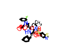 CC(C)CN(C[C@@H](O)[C@H](Cc1ccccc1)NC(=O)[C@@H]1CN(c2cccc(F)c2)C(=O)O1)S(=O)(=O)c1ccc2ncsc2c1